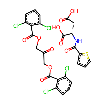 O=C(COC(=O)c1c(Cl)cccc1Cl)COC(=O)c1c(Cl)cccc1Cl.O=C(O)C[C@H](NC(=O)c1cccs1)C(=O)O